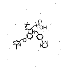 Cc1nc(COc2ccc3c(c2)c(SC(C)(C)C)c(CC(C)(C)C(=O)O)n3Cc2ccc(-c3ncccn3)cc2)cs1